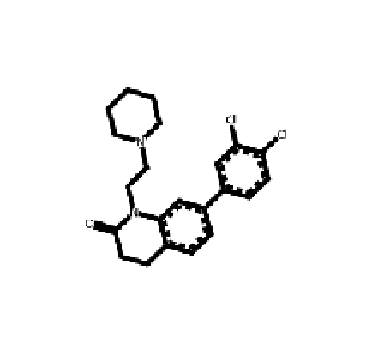 O=C1CCc2ccc(-c3ccc(Cl)c(Cl)c3)cc2N1CCN1CCCCC1